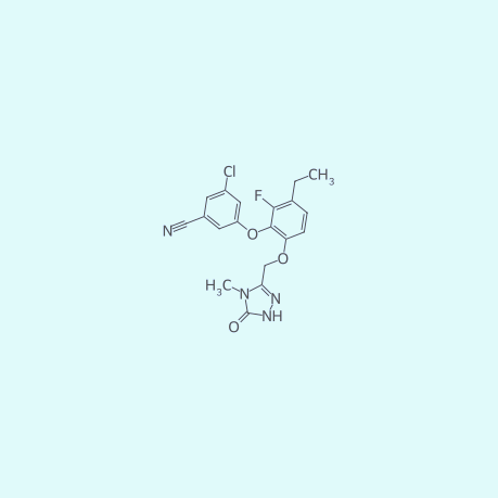 CCc1ccc(OCc2n[nH]c(=O)n2C)c(Oc2cc(Cl)cc(C#N)c2)c1F